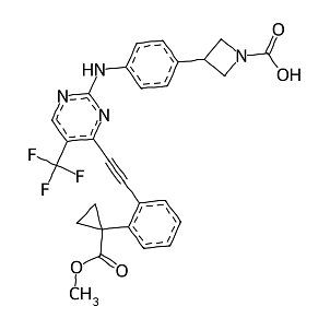 COC(=O)C1(c2ccccc2C#Cc2nc(Nc3ccc(C4CN(C(=O)O)C4)cc3)ncc2C(F)(F)F)CC1